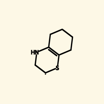 [CH]1CNC2=C(CCCC2)S1